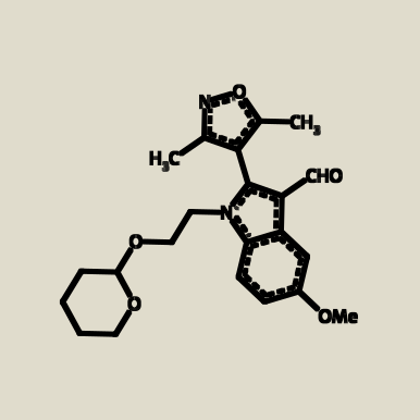 COc1ccc2c(c1)c(C=O)c(-c1c(C)noc1C)n2CCOC1CCCCO1